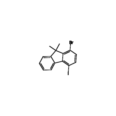 CC1(C)c2ccccc2-c2c(I)ccc(Br)c21